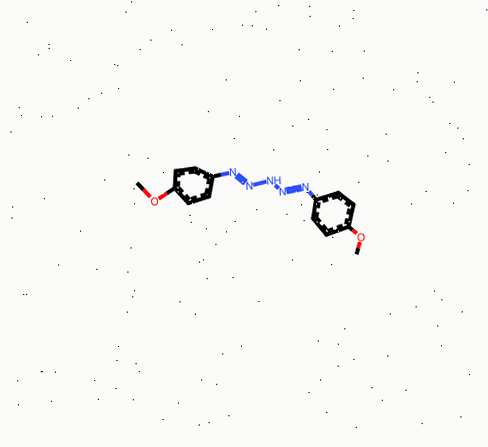 COc1ccc(/N=N/N/N=N/c2ccc(OC)cc2)cc1